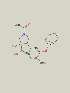 COC(=O)N1CC(c2ccc(OC)c(OC3CC4CCC3C4)c2)C(C)(C(C)O)C1